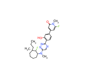 CCC[C@]1(C)CCCC[C@H](N(C)c2cnc(-c3ccc(-c4cc(F)n(C)c(=O)c4)cc3O)nn2)[C@@H]1F